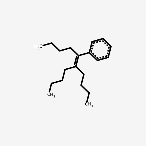 CCCCC(CCCC)=C(CCCC)c1ccccc1